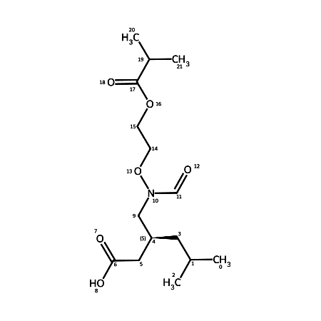 CC(C)C[C@@H](CC(=O)O)CN(C=O)OCCOC(=O)C(C)C